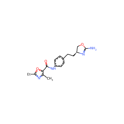 CCc1nc(C)c(C(=O)Nc2ccc(CC[C@H]3COC(N)=N3)cc2)o1